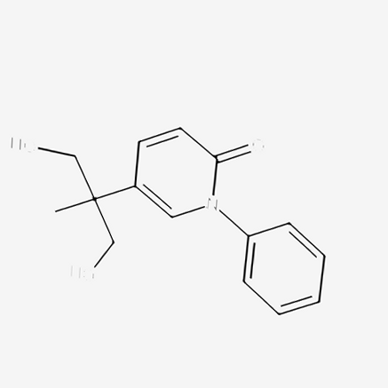 CC(CO)(CO)c1ccc(=O)n(-c2ccccc2)c1